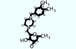 Cc1cc(=O)c(O)c(CN2CCN(Cc3ccc(C)c(C)c3)CC2)o1